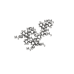 COc1cccc2c(Nc3ccccc3C)nc(N)nc12.COc1cccc2c(Nc3ccccc3C)nc(Nc3ccccc3C)nc12.Cc1ccccc1Nc1nc(Nc2ccccc2C)c2ccccc2n1